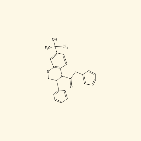 O=C(Cc1ccccc1)N1c2ccc(C(O)(C(F)(F)F)C(F)(F)F)cc2SCC1c1ccccc1